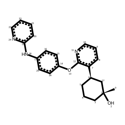 C[C@@]1(O)CCC[C@@H](c2cccnc2Oc2ccc(Nc3ccccn3)cc2)C1